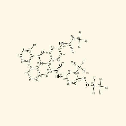 Cc1cccc(F)c1C(=O)N1c2ccccc2C[C@H](C(=O)Nc2ccc(CO[Si](C)(C)C(C)(C)C)c(C(F)(F)F)c2)C1c1ccc(NC(=O)OC(C)(C)C)cc1